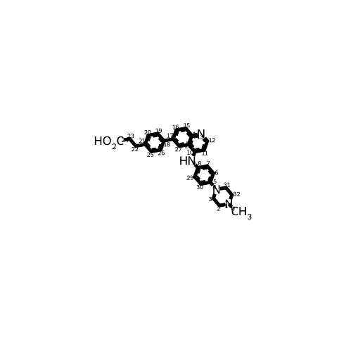 CN1CCN(c2ccc(Nc3ccnc4ccc(-c5ccc(CCC(=O)O)cc5)cc34)cc2)CC1